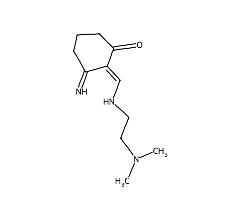 CN(C)CCN/C=C1\C(=N)CCCC1=O